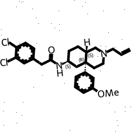 C=CCN1CC[C@@]2(c3cccc(OC)c3)C[C@@H](NC(=O)Cc3ccc(Cl)c(Cl)c3)CC[C@@H]2C1